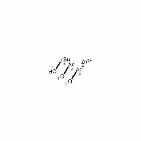 CC(=O)[O-].CC(=O)[O-].CCCCO.[Zn+2]